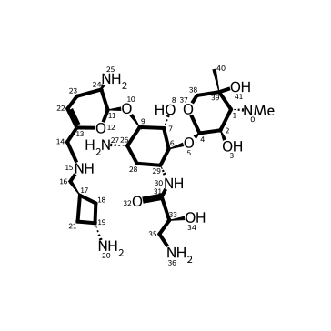 CN[C@@H]1[C@@H](O)[C@@H](O[C@@H]2[C@@H](O)[C@H](O[C@H]3OC(CNC[C@H]4C[C@H](N)C4)=CC[C@H]3N)[C@@H](N)C[C@H]2NC(=O)[C@@H](O)CN)OC[C@]1(C)O